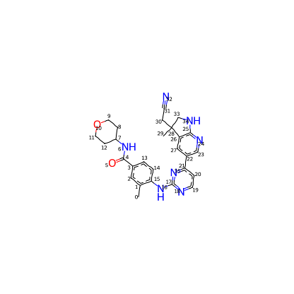 Cc1cc(C(=O)NC2CCOCC2)ccc1Nc1nccc(-c2cnc3c(c2)C(C)(CC#N)CN3)n1